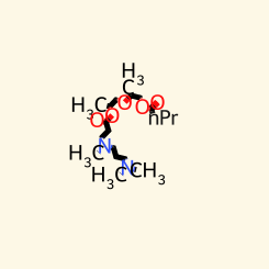 CCCC(=O)OCC(C)OCC(C)OC(=O)CCN(C)CCCN(C)C